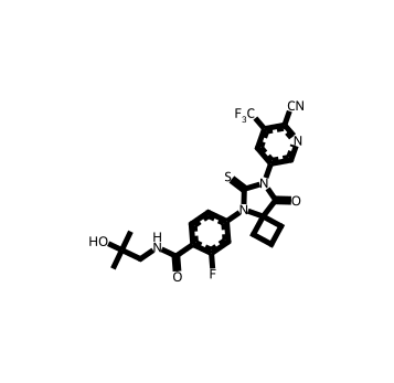 CC(C)(O)CNC(=O)c1ccc(N2C(=S)N(c3cnc(C#N)c(C(F)(F)F)c3)C(=O)C23CCC3)cc1F